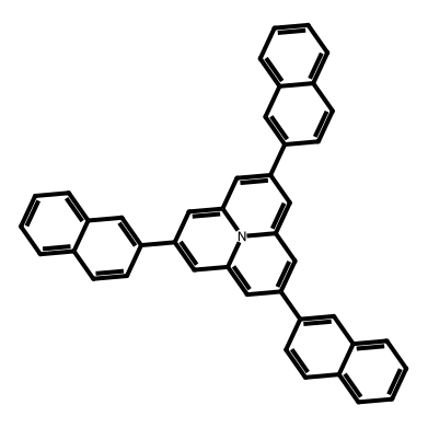 C1=C(c2ccc3ccccc3c2)C=C2C=C(c3ccc4ccccc4c3)C=C3C=C(c4ccc5ccccc5c4)C=C1N23